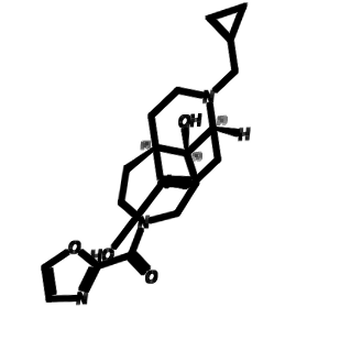 O=C(c1ncco1)N1CC[C@]23CCN(CC4CC4)[C@H](Cc4ccc(O)cc42)[C@]3(O)CC1